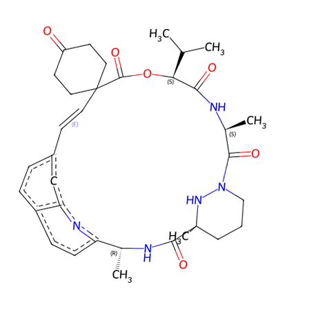 CC(C)[C@@H]1OC(=O)C2(/C=C/c3ccc4ccc(nc4c3)[C@@H](C)NC(=O)C3(C)CCCN(N3)C(=O)[C@H](C)NC1=O)CCC(=O)CC2